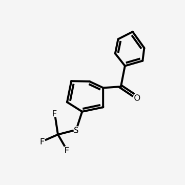 O=C(c1ccccc1)c1cccc(SC(F)(F)F)c1